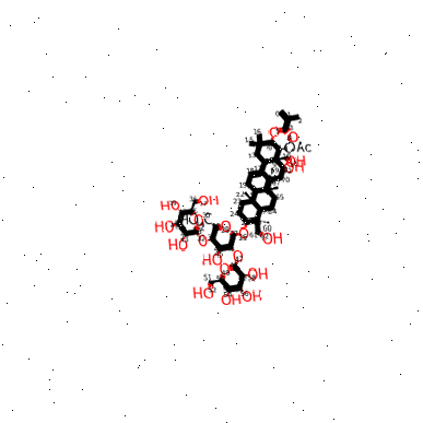 C=C(C)C(=O)O[C@H]1[C@H](OC(C)=O)[C@@]2(CO)C(CC1(C)C)C1=CCC3[C@@]4(C)CC[C@H](O[C@@H]5O[C@H](C(=O)O)[C@@H](O[C@@H]6O[C@H](CO)[C@@H](O)[C@H](O)[C@H]6O)[C@H](O)[C@H]5O[C@@H]5O[C@H](CO)[C@@H](O)[C@H](O)[C@H]5O)[C@](C)(CO)C4CC[C@@]3(C)[C@]1(C)C[C@H]2O